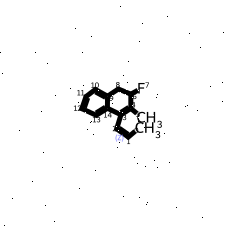 C/C=C\C1=C(C)C(F)Cc2ccccc21